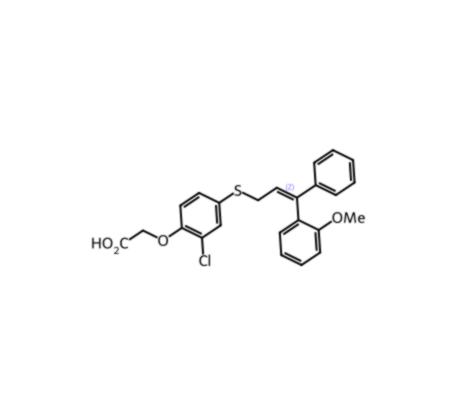 COc1ccccc1/C(=C\CSc1ccc(OCC(=O)O)c(Cl)c1)c1ccccc1